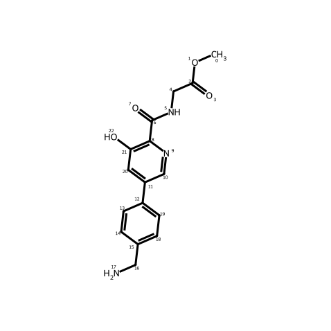 COC(=O)CNC(=O)c1ncc(-c2ccc(CN)cc2)cc1O